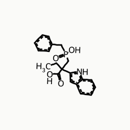 CCC(CP(=O)(O)Cc1ccccc1)(C(=O)O)c1cc2ccccc2[nH]1